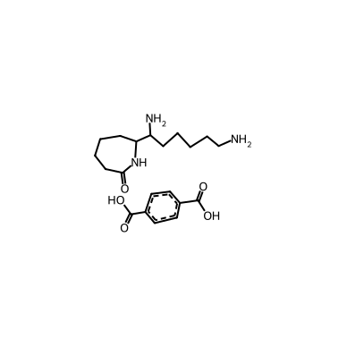 NCCCCCC(N)C1CCCCC(=O)N1.O=C(O)c1ccc(C(=O)O)cc1